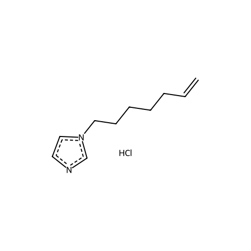 C=CCCCCCn1ccnc1.Cl